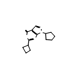 O=c1[nH]c(C2CCC2)nc2c1cnn2C1CCCC1